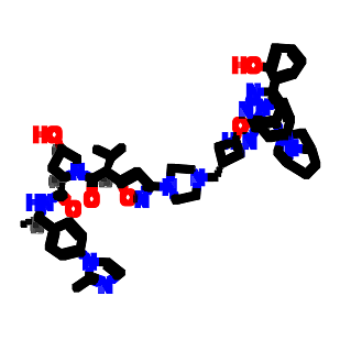 Cc1nccn1-c1ccc([C@H](C)NC(=O)[C@@H]2C[C@@H](O)CN2C(=O)[C@H](c2cc(N3CCN(C[C@H]4C[C@H](Oc5cc(N6C7CCC6CN(c6cc(-c8ccccc8O)nnc6N)C7)ccn5)C4)CC3)no2)C(C)C)cc1